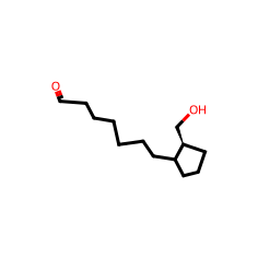 O=CCCCCCCC1CCC[C@@H]1CO